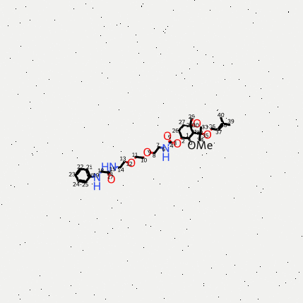 COC1C(OC(=O)NCCOCCOCCNC(=O)CNc2ccccc2)CC[C@]2(CO2)C1C(C)(C)OCC=C(C)C